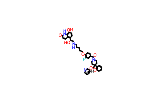 O=C(c1ccc(OCCCCCNCC(O)c2ccc(O)c3[nH]c(=O)ccc23)c(F)c1)N1CCC(C(=O)O[C@H]2CN3CCC2CC3)(c2ccccc2)CC1